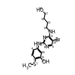 CSc1ccc(Nc2ncc(Br)c(NCCCCO)n2)cc1O